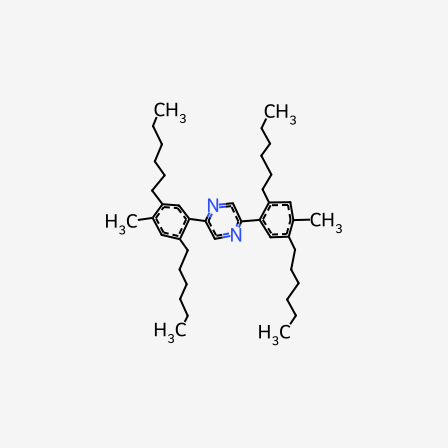 CCCCCCc1cc(-c2cnc(-c3cc(CCCCCC)c(C)cc3CCCCCC)cn2)c(CCCCCC)cc1C